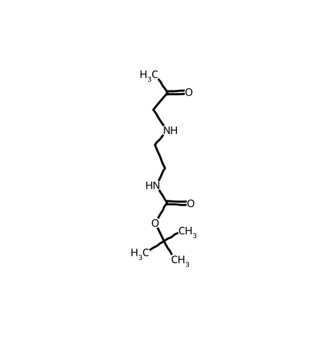 CC(=O)CNCCNC(=O)OC(C)(C)C